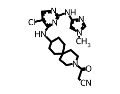 Cn1cnc(Nc2ncc(Cl)c(NC3CCC4(CC3)CCN(C(=O)CC#N)CC4)n2)c1